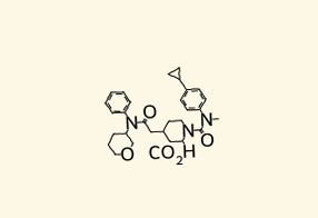 CN(C(=O)N1CCC(CC(=O)N(c2ccccc2)C2CCCOC2)CC1C(=O)O)c1ccc(C2CC2)cc1